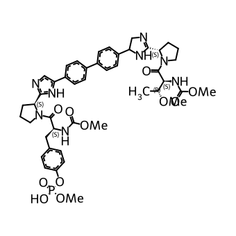 COC(=O)N[C@@H](Cc1ccc(OP(=O)(O)OC)cc1)C(=O)N1CCC[C@H]1c1ncc(-c2ccc(-c3ccc(C4CN=C([C@@H]5CCCN5C(=O)[C@@H](NC(=O)OC)[C@@H](C)OC)N4)cc3)cc2)[nH]1